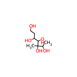 CC(O)C(C)(O)C(O)C(O)CCO